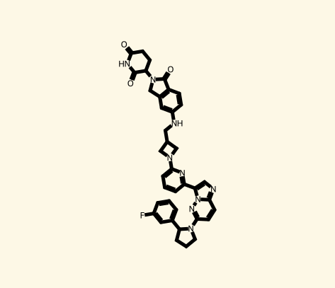 O=C1CCC(N2Cc3cc(NCC4CN(c5cccc(-c6cnc7ccc(N8CCCC8c8cccc(F)c8)nn67)n5)C4)ccc3C2=O)C(=O)N1